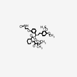 CCC(C)(C)C(=O)C(=O)N1CCCCC1C(=O)O[C@H](CCc1ccc(OC)c(OC)c1)c1cccc(OCCNCl)c1